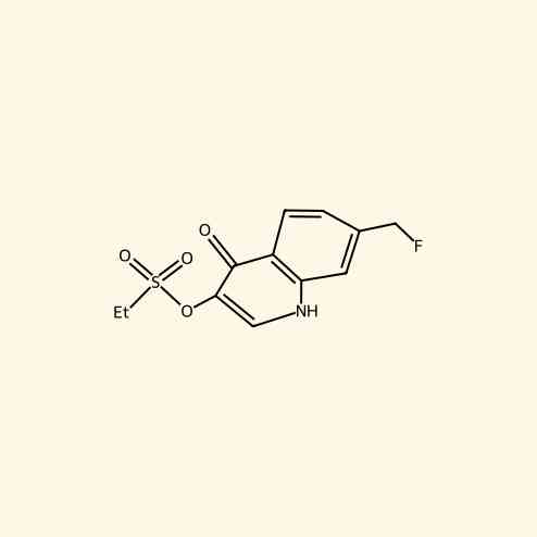 CCS(=O)(=O)Oc1c[nH]c2cc(CF)ccc2c1=O